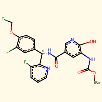 CC(C)(C)OC(=O)Nc1cc(C(=O)N[C@@H](c2ccc(OCF)c(F)c2)c2ncccc2F)cnc1O